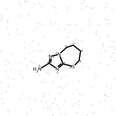 Nc1nc2n(n1)CCCCS2